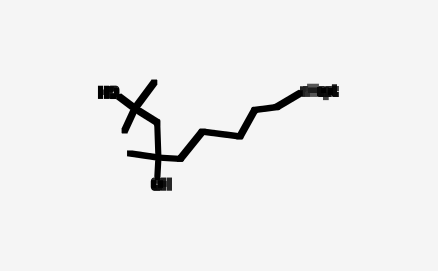 CCCCCCCCCCCCC(C)(O)CC(C)(C)O